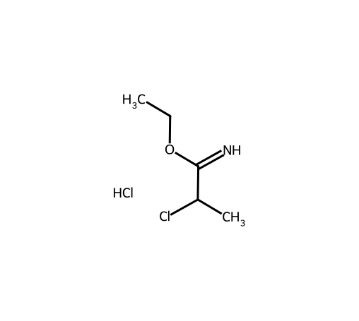 CCOC(=N)C(C)Cl.Cl